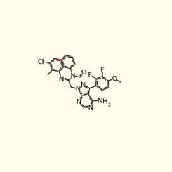 COc1ccc(-c2nn(C/C(=N/c3cccc(Cl)c3C)N(C=O)c3ccccc3)c3ncnc(N)c23)c(F)c1F